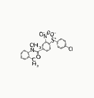 Cc1ccccc1N(C)C(=O)c1ccc([S+]([O-])c2ccc(Cl)cc2)c([N+](=O)[O-])c1